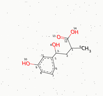 CC(CC(O)c1cccc(O)c1)C(=O)O